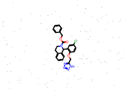 O=C(OCc1ccccc1)N1CCc2ccccc2C1c1cc(Cl)ccc1OCc1nnn[nH]1